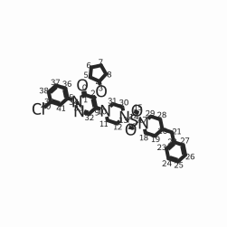 O=c1c(OC2CCCC2)c(N2CCN(S(=O)(=O)N3CCC(Cc4ccccc4)CC3)CC2)cnn1-c1cccc(Cl)c1